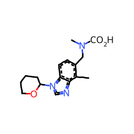 Cc1c(CN(C)C(=O)O)ccc2c1ncn2C1CCCCO1